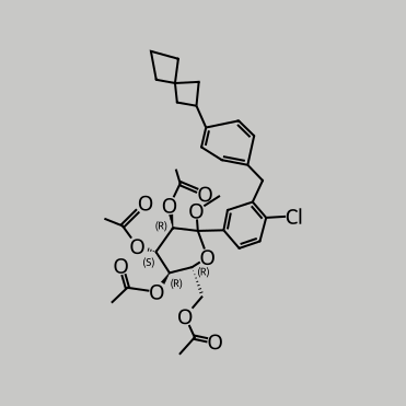 COC1(c2ccc(Cl)c(Cc3ccc(C4CC5(CCC5)C4)cc3)c2)O[C@H](COC(C)=O)[C@@H](OC(C)=O)[C@H](OC(C)=O)[C@H]1OC(C)=O